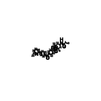 C=CC(=O)NC1CC(C)N(S(=O)(=O)c2ccc(C(=O)N3CCN(c4cccc(C)n4)CC3)cc2)C(C)C1